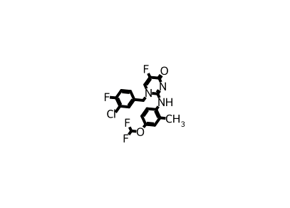 Cc1cc(OC(F)F)ccc1Nc1nc(=O)c(F)cn1Cc1ccc(F)c(Cl)c1